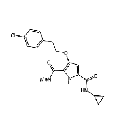 CNC(=O)c1[nH]c(C(=O)NC2CC2)cc1OCCc1ccc(Cl)cc1